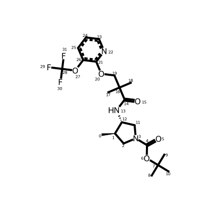 C[C@@H]1CN(C(=O)OC(C)(C)C)C[C@H]1NC(=O)C(C)(C)COc1ncccc1OC(F)(F)F